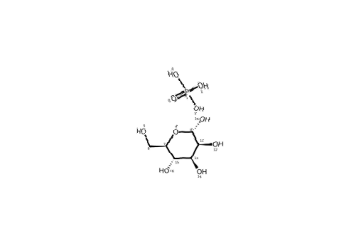 O=P(O)(O)O.OC[C@H]1O[C@H](O)[C@@H](O)[C@@H](O)[C@@H]1O